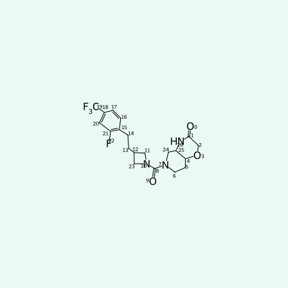 O=C1COC2CCN(C(=O)N3CC(CCc4ccc(C(F)(F)F)cc4F)C3)CC2N1